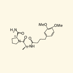 COc1ccc(CCCC(=O)N[C@@H](C)C(=O)N2CCC[C@H]2C(N)=O)cc1OC